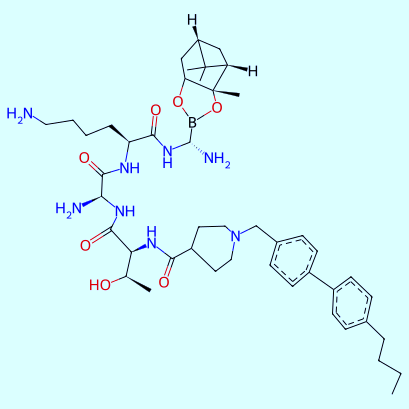 CCCCc1ccc(-c2ccc(CN3CCC(C(=O)N[C@H](C(=O)N[C@@H](N)C(=O)N[C@@H](CCCCN)C(=O)N[C@@H](N)B4OC5C[C@@H]6C[C@@H](C6(C)C)[C@]5(C)O4)[C@@H](C)O)CC3)cc2)cc1